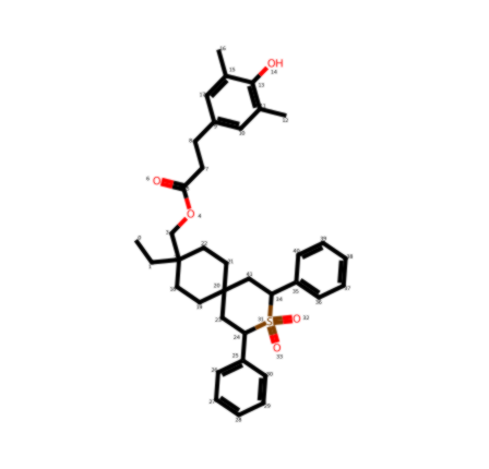 CCC1(COC(=O)CCc2cc(C)c(O)c(C)c2)CCC2(CC1)CC(c1ccccc1)S(=O)(=O)C(c1ccccc1)C2